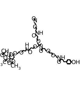 CC(=O)OC[C@H]1O[C@@H](OCCOCCNC(=O)CCOCC2(COCCC(=O)NCCOCCN=O)CN2C(=O)CCOCCOCCNC(=O)CCc2ccc(O)cc2)C[C@@H](OC(C)=O)[C@H]1OC(C)=O